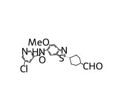 COc1cc2nc([C@H]3CC[C@H](C=O)CC3)sc2cc1NC(=O)c1cncc(Cl)c1